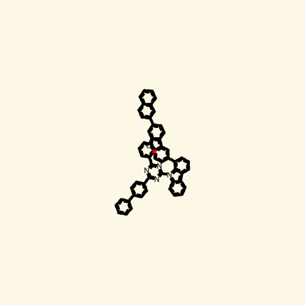 c1ccc(-c2ccc(-c3nc(-c4ccccc4)nc(-n4c5ccccc5c5cccc(-c6ccc7oc8cc(-c9ccc%10ccccc%10c9)ccc8c7c6)c54)n3)cc2)cc1